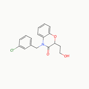 O=C1C(CCO)Oc2ccccc2N1Cc1cccc(Cl)c1